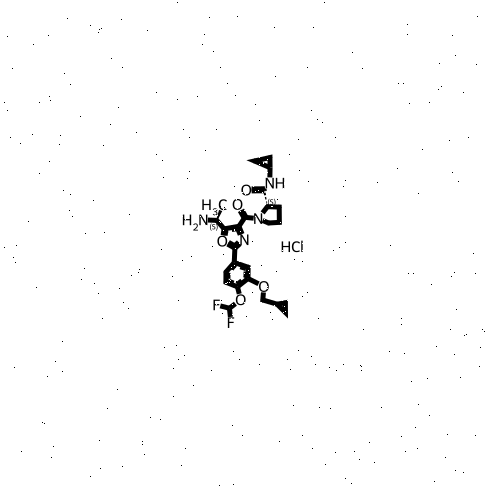 C[C@H](N)c1oc(-c2ccc(OC(F)F)c(OCC3CC3)c2)nc1C(=O)N1CCC[C@H]1C(=O)NC1CC1.Cl